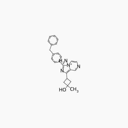 CC1(O)CC(C2=C3C=NC=C[N+]3(N)C(c3ccc(Cc4ccccc4)cc3)=N2)C1